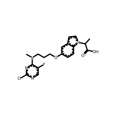 CC(C(=O)O)n1ccc2cc(OCCCN(C)c3nc(Cl)ncc3F)ccc21